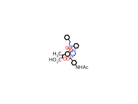 CC(=O)Nc1ccc(C(=O)N2CCN(c3ccccc3N(CCc3ccccc3)S(=O)(=O)c3ccc4oc(C(=O)O)c(C)c4c3)CC2)cc1